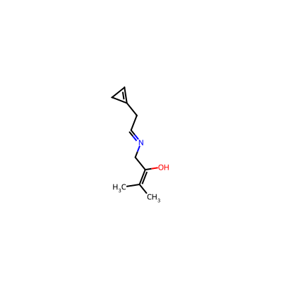 CC(C)=C(O)C/N=C/CC1=CC1